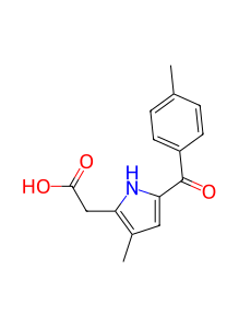 Cc1ccc(C(=O)c2cc(C)c(CC(=O)O)[nH]2)cc1